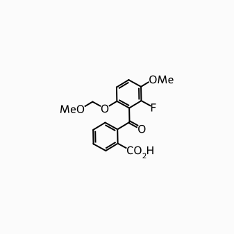 COCOc1ccc(OC)c(F)c1C(=O)c1ccccc1C(=O)O